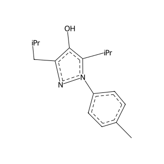 Cc1ccc(-n2nc(CC(C)C)c(O)c2C(C)C)cc1